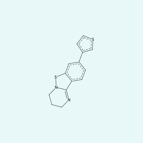 c1cc(-c2ccc3c(c2)SN2CCCN=C32)cs1